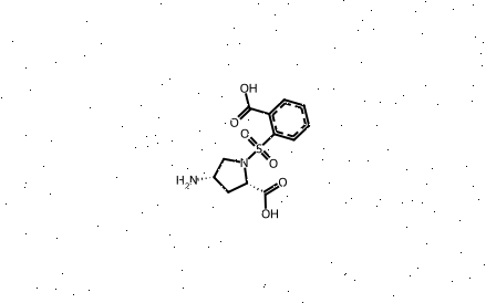 N[C@H]1C[C@@H](C(=O)O)N(S(=O)(=O)c2ccccc2C(=O)O)C1